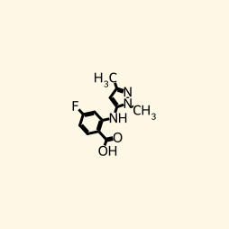 Cc1cc(Nc2cc(F)ccc2C(=O)O)n(C)n1